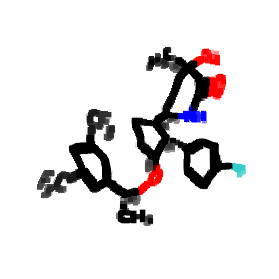 C[C@@H](O[C@H]1CC[C@@H]([C@H]2C[C@](C)(O)C(=O)N2)[C@@H]1c1ccc(F)cc1)c1cc(C(F)(F)F)cc(C(F)(F)F)c1